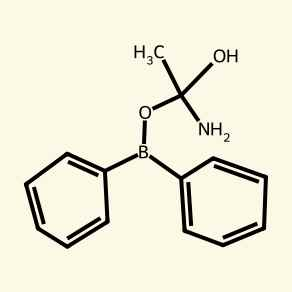 CC(N)(O)OB(c1ccccc1)c1ccccc1